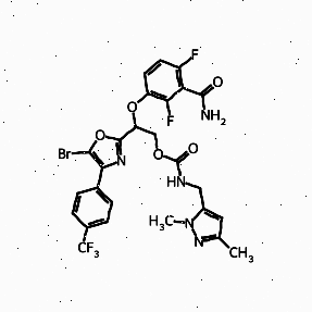 Cc1cc(CNC(=O)OCC(Oc2ccc(F)c(C(N)=O)c2F)c2nc(-c3ccc(C(F)(F)F)cc3)c(Br)o2)n(C)n1